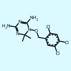 CC1(C)N=C(N)N=C(N)N1OCc1cc(Cl)c(Cl)cc1Cl